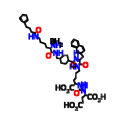 BNC(CCCCNC(=O)CCCc1ccccc1)C(=O)NCC1CCC(C(=O)NC(Cc2ccc3ccccc3c2)C(=O)NCCCCC(NC(=O)NC(CCC(=O)O)C(=O)O)C(=O)O)CC1